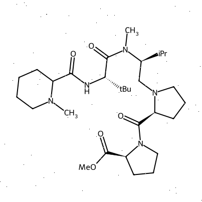 COC(=O)[C@@H]1CCCN1C(=O)[C@@H]1CCCN1C[C@H](C(C)C)N(C)C(=O)[C@@H](NC(=O)C1CCCCN1C)C(C)(C)C